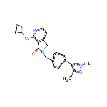 Cc1nn(C)cc1-c1ccc(CN2Cc3ccnc(OC4CCC4)c3C2=O)cc1